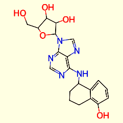 OCC1OC(n2cnc3c(NC4CCCc5c(O)cccc54)ncnc32)C(O)C1O